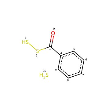 O=C(SS)c1ccccc1.S